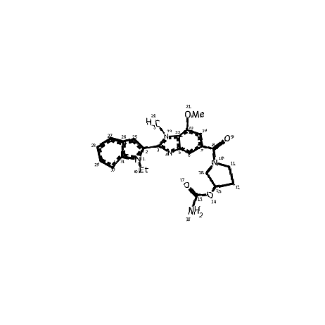 CCn1c(-c2nc3cc(C(=O)N4CCC(OC(N)=O)C4)cc(OC)c3n2C)cc2ccccc21